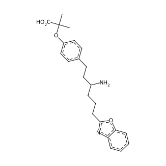 CC(C)(Oc1ccc(CCC(N)CCCc2nc3ccccc3o2)cc1)C(=O)O